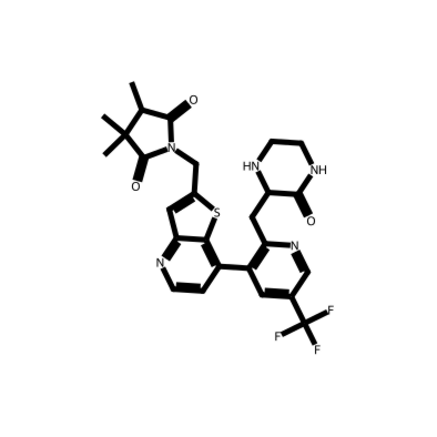 CC1C(=O)N(Cc2cc3nccc(-c4cc(C(F)(F)F)cnc4CC4NCCNC4=O)c3s2)C(=O)C1(C)C